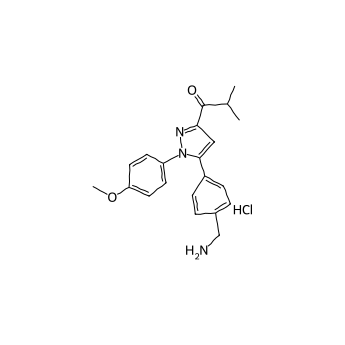 COc1ccc(-n2nc(C(=O)C(C)C)cc2-c2ccc(CN)cc2)cc1.Cl